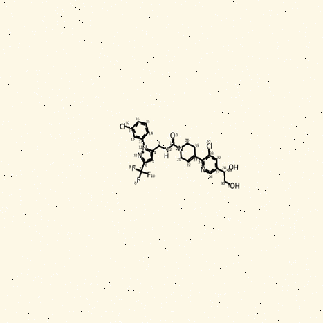 O=C(NCc1cc(C(F)(F)F)nn1-c1cccc(Cl)c1)N1CC=C(c2ncc([C@H](O)CO)cc2Cl)CC1